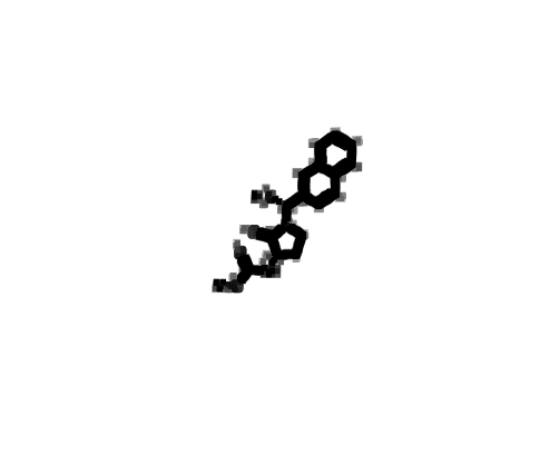 COC(=O)N[C@H]1CCN([C@H](C)c2ccc3ccccc3c2)C1=O